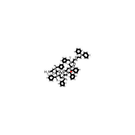 C[C@@H](c1ccccc1)N(CC(N)=O)C(=O)CN(C(=O)CN(C(=O)CN(C(=O)CN(C(=O)CN(C(=O)CNCCP(c1ccccc1)c1ccccc1)[C@@H](C)c1ccccc1)[C@@H](C)c1ccccc1)[C@@H](C)c1ccccc1)[C@@H](C)c1ccccc1)[C@@H](C)c1ccccc1